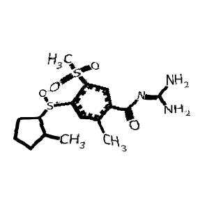 Cc1cc([S+]([O-])C2CCCC2C)c(S(C)(=O)=O)cc1C(=O)N=C(N)N